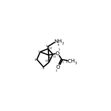 CC(=O)OC1(CN)C2CCC1CC2